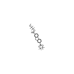 COC(C)(C)C(C)(C)OBc1ccc2c(c1)Cc1cc(B3OC(C)(C)C(C)(C)O3)ccc1-2